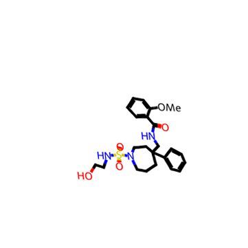 COc1ccccc1C(=O)NCC1(c2ccccc2)CCCN(S(=O)(=O)NCCO)CC1